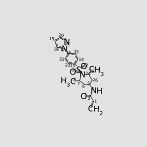 C=CC(=O)NC1CC(C)N(S(=O)(=O)c2ccc(-n3cccn3)cc2)C(C)C1